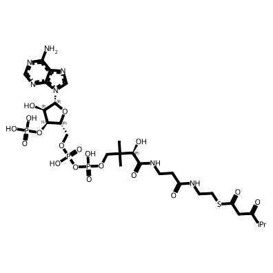 CC(C)C(=O)CC(=O)SCCNC(=O)CCNC(=O)[C@H](O)C(C)(C)COP(=O)(O)OP(=O)(O)OC[C@H]1O[C@@H](n2cnc3c(N)ncnc32)[C@H](O)[C@@H]1OP(=O)(O)O